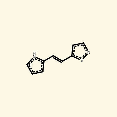 C(=C\c1ccns1)/c1ccc[nH]1